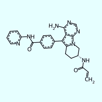 C=CC(=O)N[C@@H]1CCc2c(-c3ccc(C(=O)Nc4ccccn4)cc3)c3c(N)ncnc3n2C1